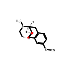 CN1CC[C@@]23CCCC[C@@H]2[C@@H]1Cc1ccc(SC#N)cc13